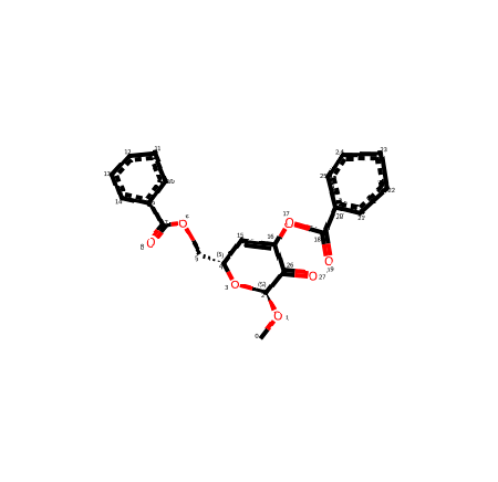 CO[C@H]1O[C@H](COC(=O)c2ccccc2)C=C(OC(=O)c2ccccc2)C1=O